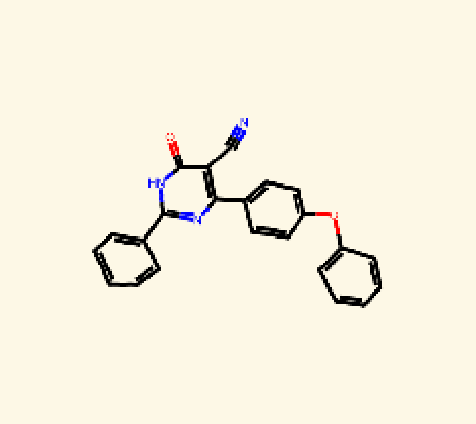 N#Cc1c(-c2ccc(Oc3ccccc3)cc2)nc(-c2ccccc2)[nH]c1=O